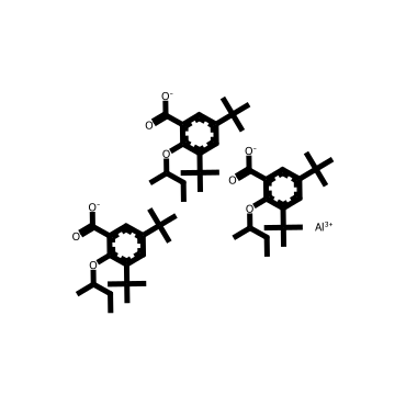 CCC(C)Oc1c(C(=O)[O-])cc(C(C)(C)C)cc1C(C)(C)C.CCC(C)Oc1c(C(=O)[O-])cc(C(C)(C)C)cc1C(C)(C)C.CCC(C)Oc1c(C(=O)[O-])cc(C(C)(C)C)cc1C(C)(C)C.[Al+3]